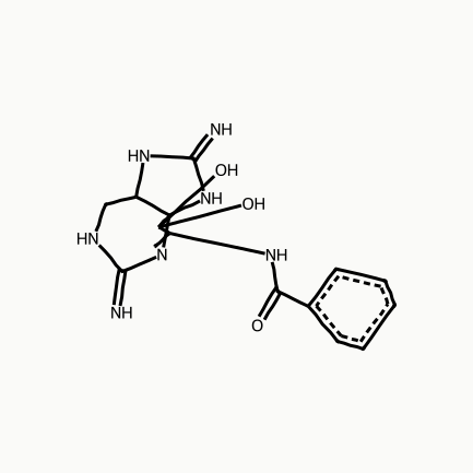 N=C1NC2CNC(=N)N3CC(NC(=O)c4ccccc4)C(O)(O)C23N1